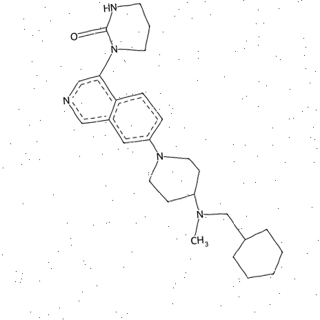 CN(CC1CCCCC1)C1CCN(c2ccc3c(N4CCCNC4=O)cncc3c2)CC1